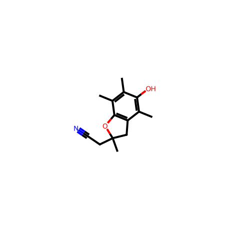 Cc1c(C)c2c(c(C)c1O)CC(C)(CC#N)O2